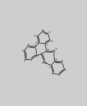 c1ccc2nc3c4ccccc4c4ccccc4c3nc2c1